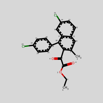 CCOC(=O)C(=O)c1c(C)cc2ccc(Cl)cc2c1-c1ccc(Cl)cc1